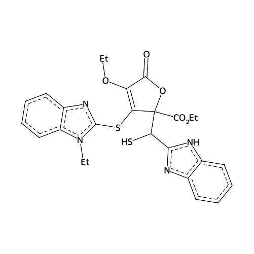 CCOC(=O)C1(C(S)c2nc3ccccc3[nH]2)OC(=O)C(OCC)=C1Sc1nc2ccccc2n1CC